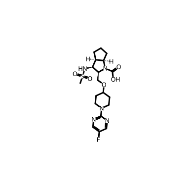 CS(=O)(=O)N[C@H]1[C@H]2CCC[C@H]2N(C(=O)O)[C@H]1COC1CCN(c2ncc(F)cn2)CC1